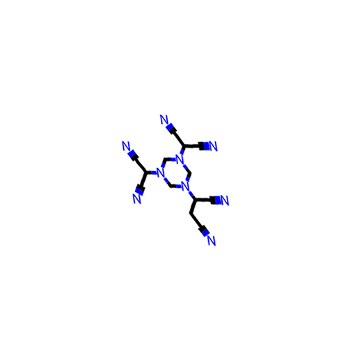 N#CCC(C#N)N1CN(C(C#N)C#N)CN(C(C#N)C#N)C1